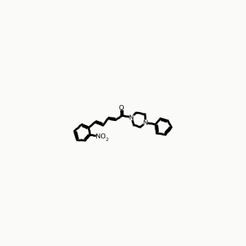 O=C(C=CC=Cc1ccccc1[N+](=O)[O-])N1CCN(c2ccccc2)CC1